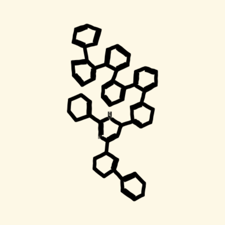 C1=CC(C2=CC(C3=CC(C4=CCCC(c5ccccc5-c5ccccc5-c5ccccc5-c5ccccc5-c5ccccc5)=C4)NC(C4=CCCCC4)=N3)CCC2)=CCC1